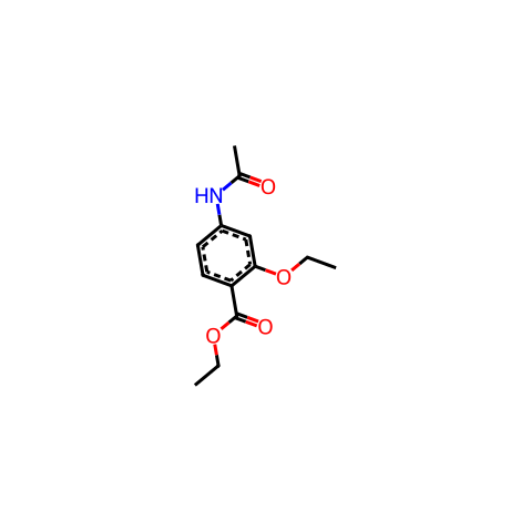 CCOC(=O)c1ccc(NC(C)=O)cc1OCC